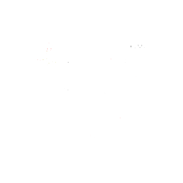 COC(=O)OC(C1COS(=O)(=O)C1)C1COS(=O)(=O)C1